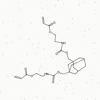 C=CC(=O)OCCNC(=O)OCC12CC3CC(C1)CC(COC(=O)NCCOC(=O)C=C)(C3)C2